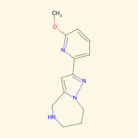 COc1cccc(-c2cc3n(n2)CCCNC3)n1